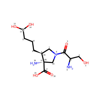 NC(CO)C(=O)N1C[C@H](CCCB(O)O)[C@](N)(C(=O)O)C1